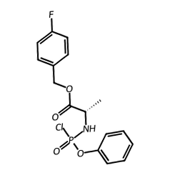 C[C@H](NP(=O)(Cl)Oc1ccccc1)C(=O)OCc1ccc(F)cc1